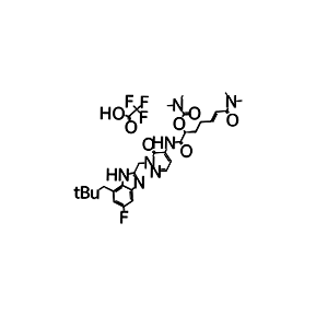 CN(C)C(=O)/C=C/CC[C@H](OC(=O)N(C)C)C(=O)Nc1ccnn(Cc2nc3cc(F)cc(CC(C)(C)C)c3[nH]2)c1=O.O=C(O)C(F)(F)F